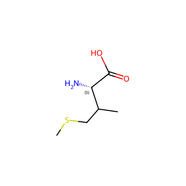 CSCC(C)[C@H](N)C(=O)O